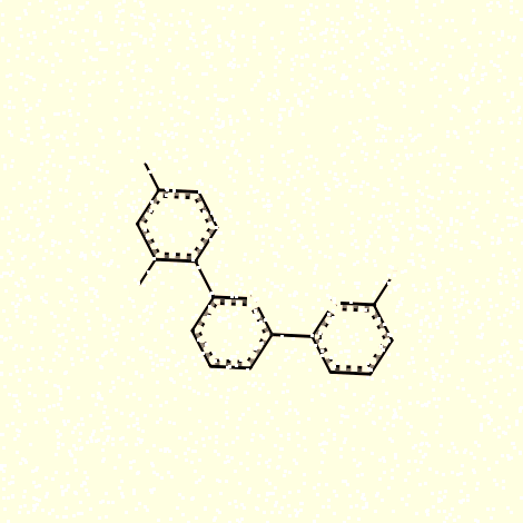 Cc1ccc(-c2cccc(-c3cccc(Br)n3)n2)c(O)c1